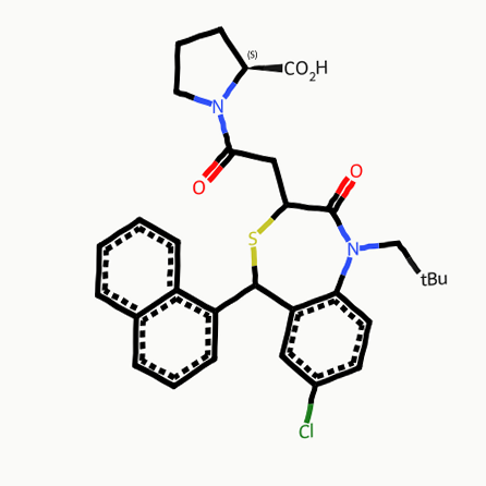 CC(C)(C)CN1C(=O)C(CC(=O)N2CCC[C@H]2C(=O)O)SC(c2cccc3ccccc23)c2cc(Cl)ccc21